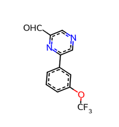 O=Cc1cncc(-c2cccc(OC(F)(F)F)c2)n1